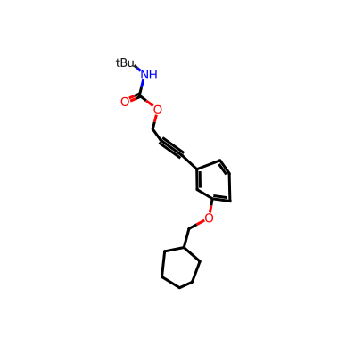 CC(C)(C)NC(=O)OCC#Cc1cccc(OCC2CCCCC2)c1